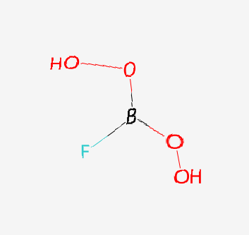 OOB(F)OO